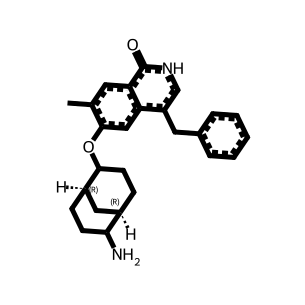 Cc1cc2c(=O)[nH]cc(Cc3ccccc3)c2cc1OC1CC[C@@H]2C[C@H]1CCC2N